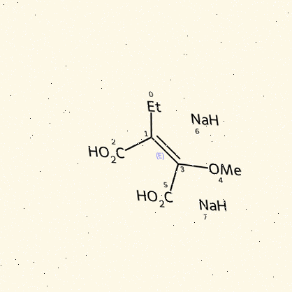 CC/C(C(=O)O)=C(\OC)C(=O)O.[NaH].[NaH]